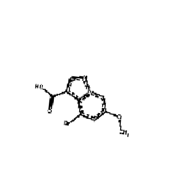 COc1cc(Br)c2c(C(=O)O)cnn2c1